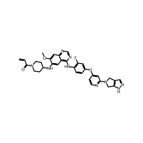 C=CC(=O)N1CCC(Nc2cc3c(Nc4ccc(Oc5ccnc(N6Cc7cn[nH]c7C6)c5)cc4F)ncnc3cc2OC)CC1